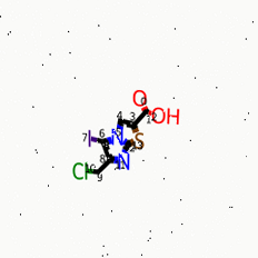 O=C(O)c1cn2c(I)c(CCl)nc2s1